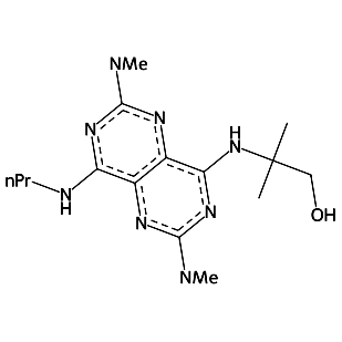 CCCNc1nc(NC)nc2c(NC(C)(C)CO)nc(NC)nc12